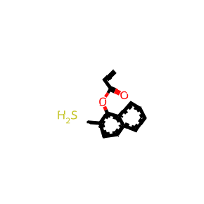 C=CC(=O)Oc1c(C)ccc2ccccc12.S